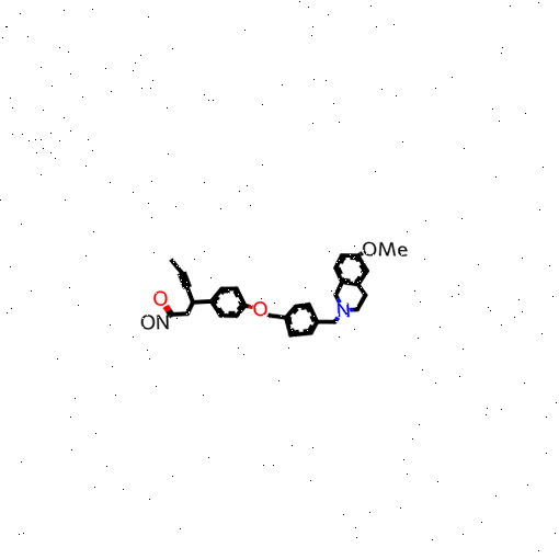 CC#CC(CC(=O)N=O)c1ccc(OCc2ccc(CN3CCc4cc(OC)ccc4C3)cc2)cc1